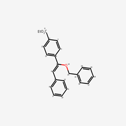 CCOC(=O)c1ccc(C(=Cc2ccccc2)OCc2ccccc2)cc1